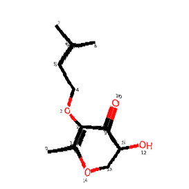 CC1=C(OCCC(C)C)C(=O)C(O)CO1